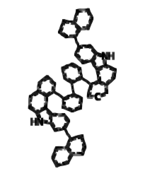 c1ccc(-c2cccc3ccc4[nH]c5cc(-c6cccc7ccccc67)ccc5c4c23)c(-c2ccccc2-c2cccc3ccc4[nH]c5cc(-c6cccc7ccccc67)ccc5c4c23)c1